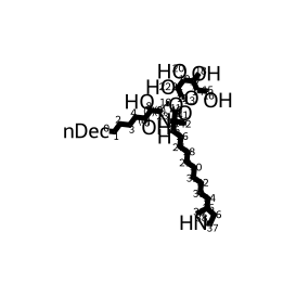 CCCCCCCCCCCCCC[C@@H](O)[C@@H](O)[C@H](COC1OC(CO)C(O)C(O)C1O)NC1(CCCCCCCCCCC2CCNC2)COC1